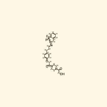 O=C(CO)N1CCN(C(=O)COc2ccc(CCC=NOCc3ccccc3C(F)(F)F)cc2)CC1